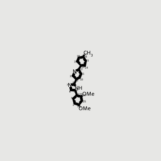 COc1ccc(-c2cnc(-c3ccc(-c4ccc(C)cc4)nc3)[nH]2)c(OC)c1